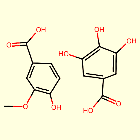 COc1cc(C(=O)O)ccc1O.O=C(O)c1cc(O)c(O)c(O)c1